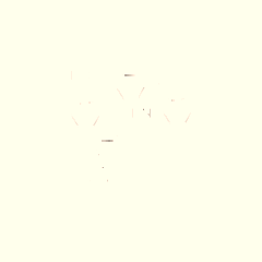 CC(c1cccc(C(=O)OC(C)(C)C)c1)c1ccc2c(c1)Nc1ccccc1S2